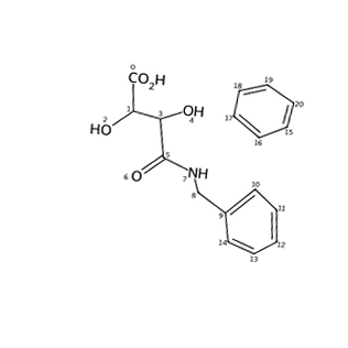 O=C(O)C(O)C(O)C(=O)NCc1ccccc1.c1ccccc1